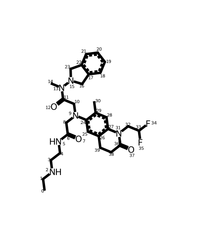 CCNCCNC(=O)CN(CC(=O)N(C)N1Cc2ccccc2C1)c1cc2c(cc1C)N(CC(F)F)C(=O)CC2